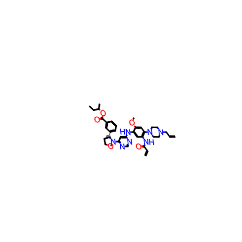 C=CCN1CCN(c2cc(OC)c(Nc3cc(N4OCC[C@@H]4c4cccc(C(=O)OC(C)CC)c4)ncn3)cc2NC(=O)C=C)CC1